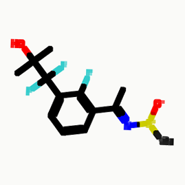 C/C(=N\[S+]([O-])C(C)(C)C)c1cccc(C(F)(F)C(C)(C)O)c1F